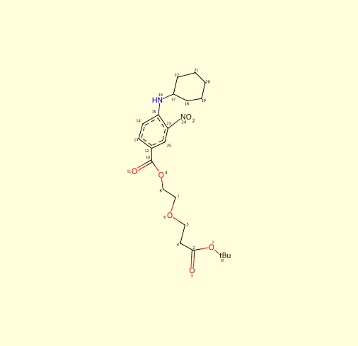 CC(C)(C)OC(=O)CCOCCOC(=O)c1ccc(NC2CCCCC2)c([N+](=O)[O-])c1